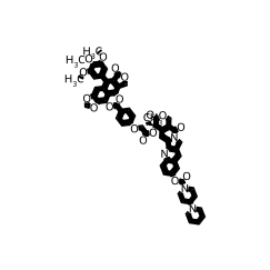 CC[C@@]1(OC(=O)COc2ccc(C(=O)Oc3c4c(c(-c5cc(OC)c(OC)c(OC)c5)c5cc6c(cc35)OCO6)C(=O)OC4)cc2)C(=O)OCc2c1cc1n(c2=O)Cc2cc3cc(OC(=O)N4CCC(N5CCCCC5)CC4)ccc3nc2-1